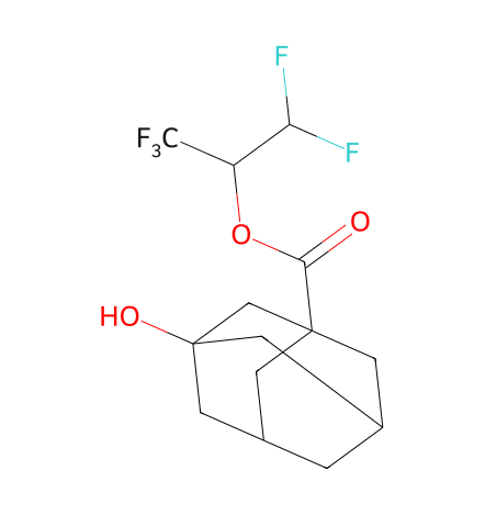 O=C(OC(C(F)F)C(F)(F)F)C12CC3CC(CC(O)(C3)C1)C2